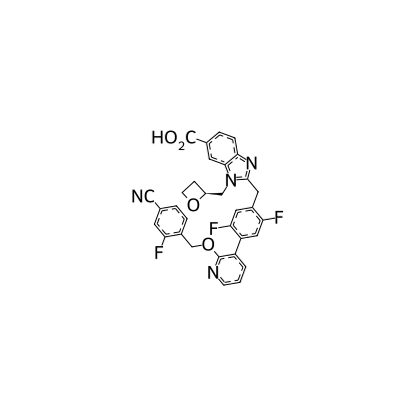 N#Cc1ccc(COc2ncccc2-c2cc(F)c(Cc3nc4ccc(C(=O)O)cc4n3C[C@@H]3CCO3)cc2F)c(F)c1